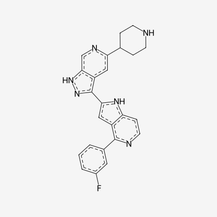 Fc1cccc(-c2nccc3[nH]c(-c4n[nH]c5cnc(C6CCNCC6)cc45)cc23)c1